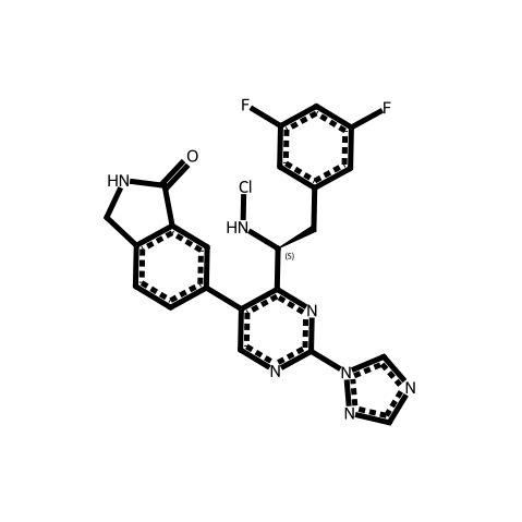 O=C1NCc2ccc(-c3cnc(-n4cncn4)nc3[C@H](Cc3cc(F)cc(F)c3)NCl)cc21